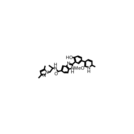 COC1=C(c2ccc(O)c(-c3nc4cc(C(=O)NC(C)Cn5nc(C)cc5C)ccc4[nH]3)c2)C=CC(C)N1